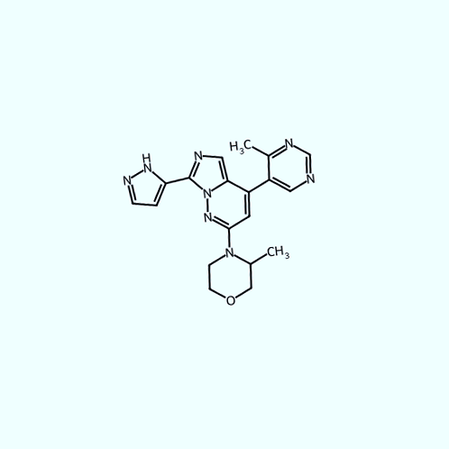 Cc1ncncc1-c1cc(N2CCOCC2C)nn2c(-c3ccn[nH]3)ncc12